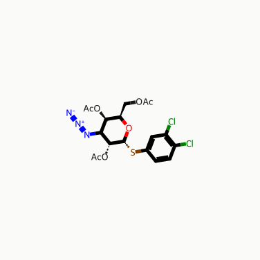 CC(=O)OC[C@H]1O[C@H](Sc2ccc(Cl)c(Cl)c2)[C@H](OC(C)=O)C(N=[N+]=[N-])[C@H]1OC(C)=O